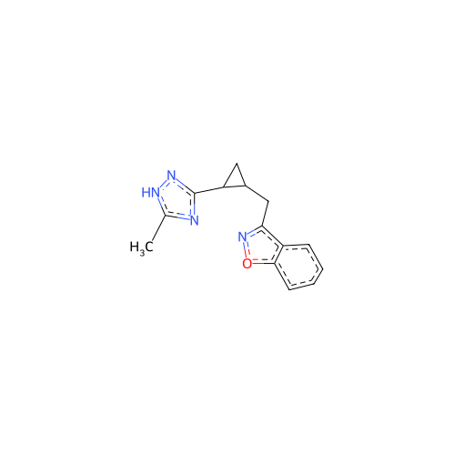 Cc1nc(C2CC2Cc2noc3ccccc23)n[nH]1